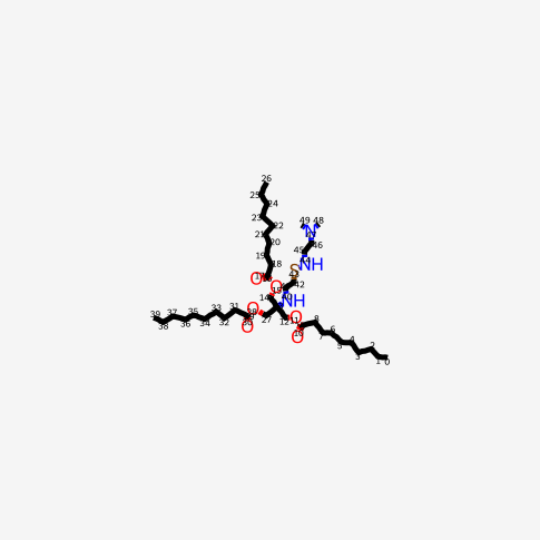 CCCCCCCCCC(=O)OCC(COC(=O)CCCCCCCCC)(COC(=O)CCCCCCCCC)NCCSNCCN(C)C